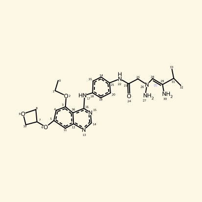 CCOc1cc(OC2COC2)cc2ncnc(Nc3ccc(NC(=O)CN(N)/C=C(\N)C(C)C)cc3)c12